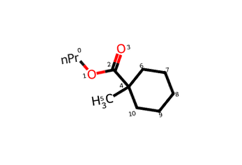 CCCOC(=O)C1(C)CCCCC1